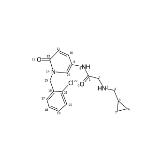 O=C(CNCC1CC1)Nc1ccc(=O)n(Cc2ccccc2Cl)c1